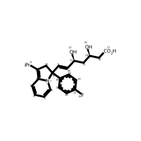 CC(C)C1=C2C=CC=CN2C(/C=C/[C@@H](O)C[C@@H](O)CC(=O)O)(c2ccc(F)cc2)C1